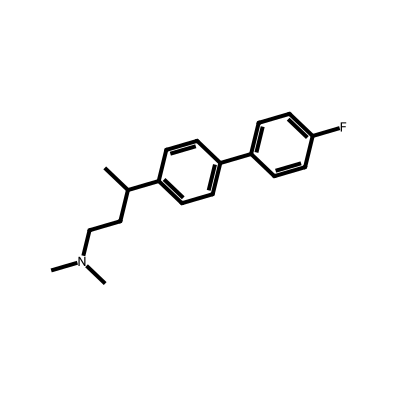 CC(CCN(C)C)c1ccc(-c2ccc(F)cc2)cc1